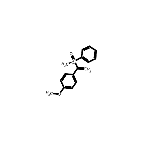 C=C(c1ccc(OC)cc1)[P@](C)(=O)c1ccccc1